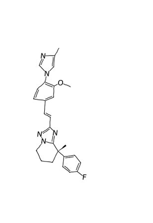 COc1cc(/C=C/c2nc3n(n2)CCC[C@@]3(C)c2ccc(F)cc2)ccc1-n1cnc(C)c1